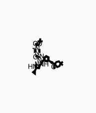 COC1(C#Cc2ccc3nc(C(=O)N4CCN(C(=O)OC(C)(C)C)[C@H](C)C4)nc(Nc4cc(C5CC5)[nH]n4)c3c2)CCC(C)(C)CC1